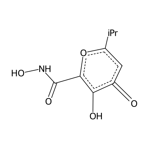 CC(C)c1cc(=O)c(O)c(C(=O)NO)o1